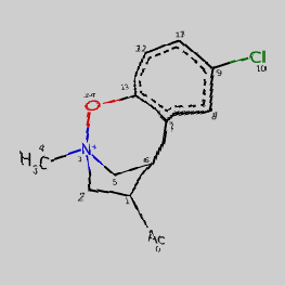 CC(=O)C1C[N+]2(C)CC1c1cc(Cl)ccc1O2